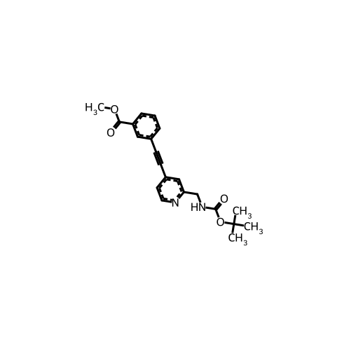 COC(=O)c1cccc(C#Cc2ccnc(CNC(=O)OC(C)(C)C)c2)c1